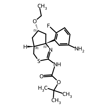 CCO[C@H]1C[C@H]2CSC(NC(=O)OC(C)(C)C)=N[C@@]2(c2cc(N)ccc2F)C1